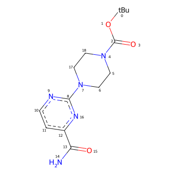 CC(C)(C)OC(=O)N1CCN(c2nccc(C(N)=O)n2)CC1